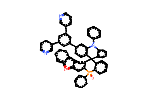 O=P1(c2ccccc2)c2ccccc2C2(c3ccccc3N(c3ccccc3)c3cc(-c4cc(-c5cccnc5)cc(-c5cccnc5)c4)ccc32)c2cc3c(cc21)oc1ccccc13